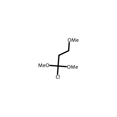 COCCC(Cl)(OC)OC